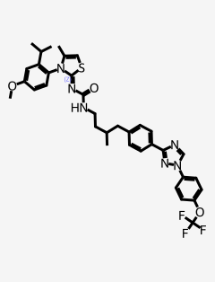 COc1ccc(-n2c(C)cs/c2=N\C(=O)NCCC(C)Cc2ccc(-c3ncn(-c4ccc(OC(F)(F)F)cc4)n3)cc2)c(C(C)C)c1